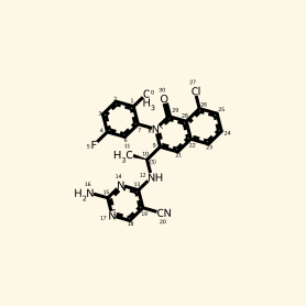 Cc1ccc(F)cc1-n1c([C@H](C)Nc2nc(N)ncc2C#N)cc2cccc(Cl)c2c1=O